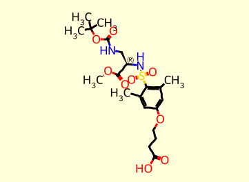 COC(=O)[C@@H](CNC(=O)OC(C)(C)C)NS(=O)(=O)c1c(C)cc(OCCCC(=O)O)cc1C